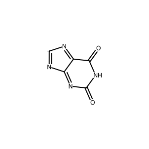 O=C1N=C2N=[C]N=C2C(=O)N1